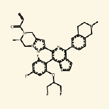 C=CC(=O)N1Cc2cc(-c3nc(-c4ccc5c(c4)CCN(C)C5)c4ccsc4c3-c3c(F)cc(F)cc3OC(CF)CF)nn2C[C@H]1C